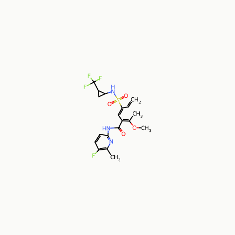 C=C/C(=C\C(C(=O)Nc1ccc(F)c(C)n1)=C(/C)OC)S(=O)(=O)NC1CC1C(F)(F)F